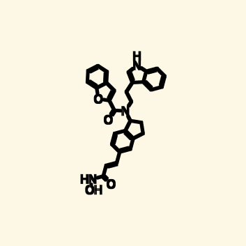 O=C(/C=C/c1ccc2c(c1)CCC2N(CCc1c[nH]c2ccccc12)C(=O)c1cc2ccccc2o1)NO